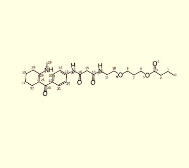 CCCC(=O)OCCCOCCNC(=O)CC(=O)Nc1ccc(C(=O)C2=C(NC)CCCC2)cc1